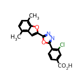 Cc1ccc(C)c2oc(-c3nnc(-c4ccc(C(=O)O)cc4Cl)o3)cc12